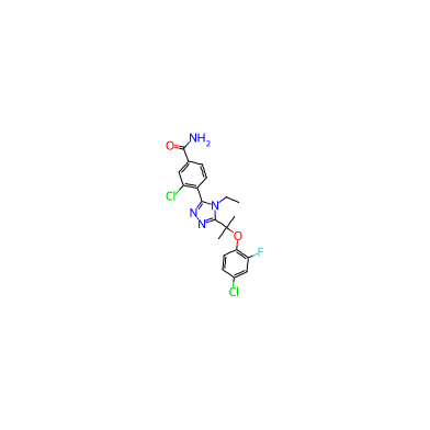 CCn1c(-c2ccc(C(N)=O)cc2Cl)nnc1C(C)(C)Oc1ccc(Cl)cc1F